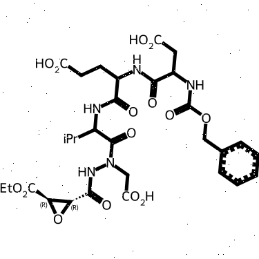 CCOC(=O)[C@@H]1O[C@H]1C(=O)NN(CC(=O)O)C(=O)C(NC(=O)C(CCC(=O)O)NC(=O)C(CC(=O)O)NC(=O)OCc1ccccc1)C(C)C